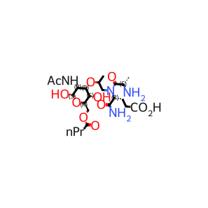 CCCC(=O)OC[C@H]1O[C@H](O)[C@H](NC(C)=O)[C@@H](OC(C)CN(C(=O)[C@H](C)N)[C@H](CCC(=O)O)C(N)=O)[C@@H]1O